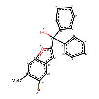 COc1cc2oc(C(O)(c3ccccc3)c3ccccc3)cc2cc1Br